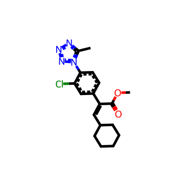 COC(=O)C(=CC1CCCCC1)c1ccc(-n2nnnc2C)c(Cl)c1